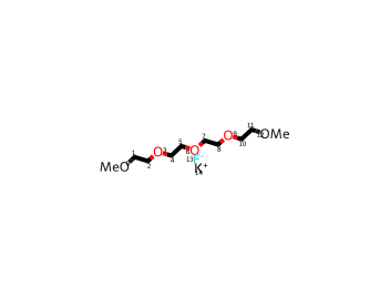 COCCOCCOCCOCCOC.[F-].[K+]